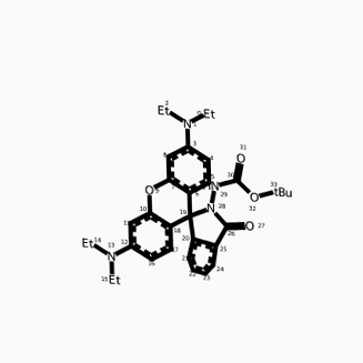 CCN(CC)c1ccc2c(c1)Oc1cc(N(CC)CC)ccc1C21c2ccccc2C(=O)N1NC(=O)OC(C)(C)C